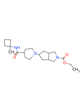 CCOC(=O)N1CC2CC(N3CCC(C(=O)NC4(C)CCC4)CC3)CC2C1